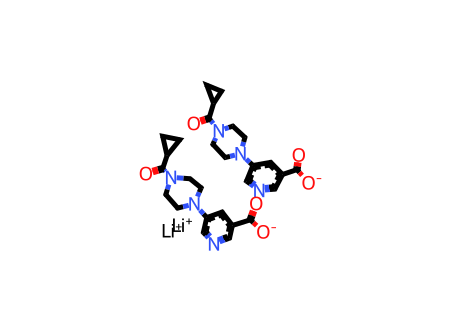 O=C([O-])c1cncc(N2CCN(C(=O)C3CC3)CC2)c1.O=C([O-])c1cncc(N2CCN(C(=O)C3CC3)CC2)c1.[Li+].[Li+]